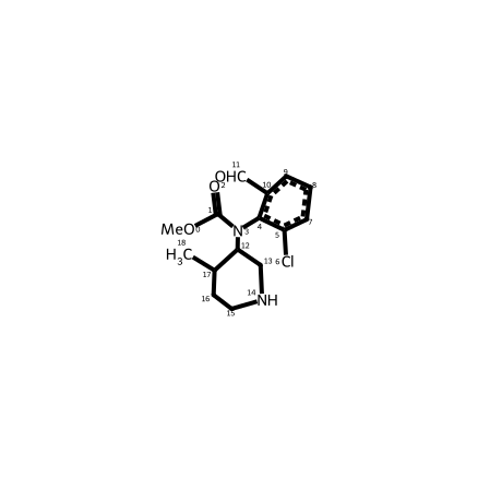 COC(=O)N(c1c(Cl)cccc1C=O)C1CNCCC1C